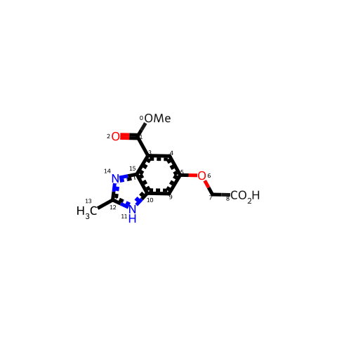 COC(=O)c1cc(OCC(=O)O)cc2[nH]c(C)nc12